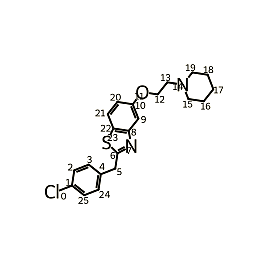 Clc1ccc(Cc2nc3cc(OCCN4CCCCC4)ccc3s2)cc1